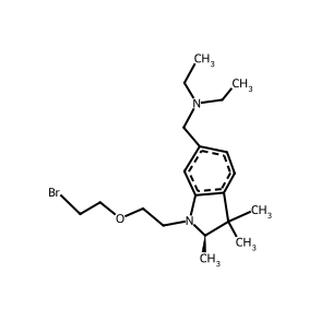 CCN(CC)Cc1ccc2c(c1)N(CCOCCBr)[C@H](C)C2(C)C